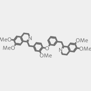 COc1cc2c(cc1OC)C(Cc1cccc(Oc3ccc(CC4=NCCc5cc(OC)c(OC)cc54)cc3OC)c1)=NCC2